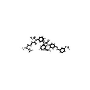 Cc1cccc(COc2ccc(-n3c(=O)n(-c4cccc(N(C)C(=O)C=CCN(C)C5CC5)c4)c4ncnc(N)c43)cc2)c1